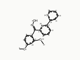 COc1ccc(C(=NO)c2cccc(-c3ccccn3)n2)c(OC)c1